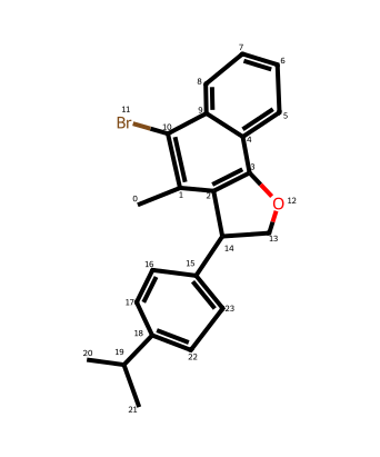 Cc1c2c(c3ccccc3c1Br)OCC2c1ccc(C(C)C)cc1